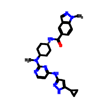 Cn1ncc2cc(C(=O)N[C@H]3CC[C@H](N(C)c4nccc(Nc5cc(C6CC6)[nH]n5)n4)CC3)ccc21